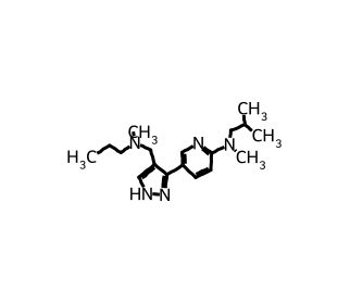 CCCN(C)Cc1c[nH]nc1-c1ccc(N(C)CC(C)C)nc1